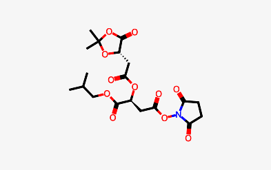 CC(C)COC(=O)[C@H](CC(=O)ON1C(=O)CCC1=O)OC(=O)C[C@@H]1OC(C)(C)OC1=O